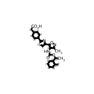 Cc1noc(-c2csc(-c3ccc(CC(=O)O)cc3)n2)c1NC(=O)OC(C)c1ccccc1F